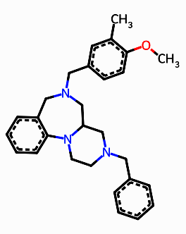 COc1ccc(CN2Cc3ccccc3N3CCN(Cc4ccccc4)CC3C2)cc1C